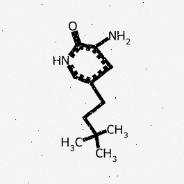 CC(C)(C)CCc1c[nH]c(=O)c(N)c1